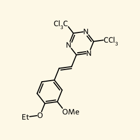 CCOc1ccc(C=Cc2nc(C(Cl)(Cl)Cl)nc(C(Cl)(Cl)Cl)n2)cc1OC